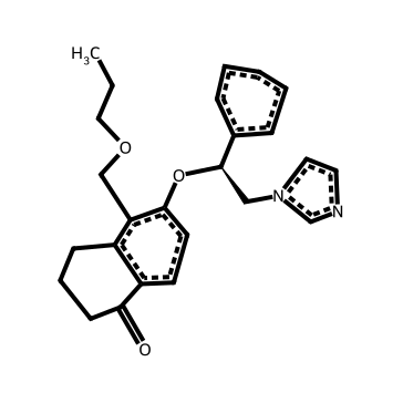 CCCOCc1c(O[C@H](Cn2ccnc2)c2ccccc2)ccc2c1CCCC2=O